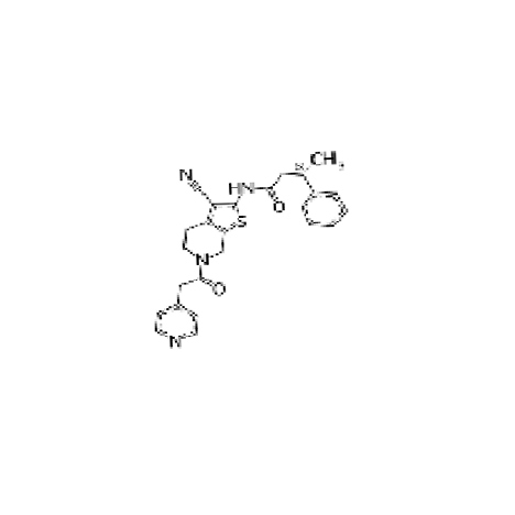 C[C@@H](CC(=O)Nc1sc2c(c1C#N)CCN(C(=O)Cc1ccncc1)C2)c1ccccc1